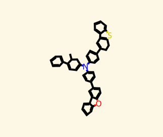 CC1CC(N(c2ccc(C3=Cc4c(sc5ccccc45)CC3)cc2)c2ccc(-c3ccc4oc5ccccc5c4c3)cc2)=CC=C1c1ccccc1